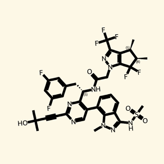 C[C@@H]1c2c(C(F)(F)F)nn(CC(=O)N[C@@H](Cc3cc(F)cc(F)c3)c3nc(C#CC(C)(C)O)ncc3-c3cccc4c(NS(C)(=O)=O)nn(C)c34)c2C(F)(F)[C@@H]1C